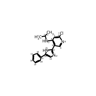 CC(C)Nc1cc(Cl)ncc1-c1ncc(-c2ccccc2)[nH]1